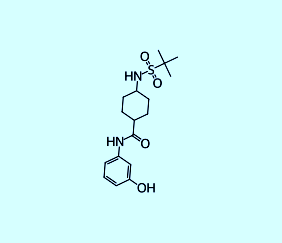 CC(C)(C)S(=O)(=O)NC1CCC(C(=O)Nc2cccc(O)c2)CC1